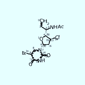 C=CC(NC(C)=O)[C@H]1O[C@@H](n2cc(Br)c(=O)[nH]c2=O)C[C@@H]1Cl